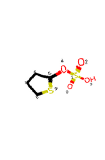 O=S(=O)(O)OC1CCCS1